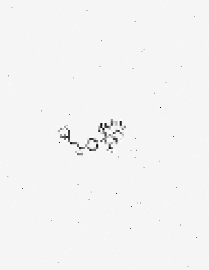 NC(=O)[C@]12[CH]CCN1C(=O)N(c1ccc(C3(CCN4CCCC4)CC3)cc1)C2=O